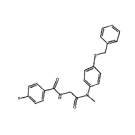 CN(C(=O)CNC(=O)c1ccc(F)cc1)c1ccc(SCc2ccccc2)cc1